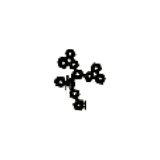 c1ccc(-c2nc(-c3ccc(-c4cccnc4)cc3)cc(-c3cc(-c4ccc5c6ccccc6c6ccccc6c5c4)cc(-c4ccc5c6ccccc6c6ccccc6c5c4)c3)n2)cc1